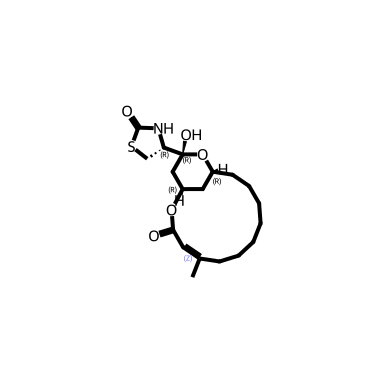 C/C1=C/C(=O)O[C@@H]2C[C@@H](CCCCCCC1)O[C@@](O)([C@@H]1CSC(=O)N1)C2